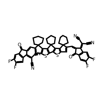 N#CC(C#N)=C1/C(=C/C2=Cc3sc4c(c3C23CCCCC3)C2(CCCCC2)c2c-4sc3c2C2(CCCCC2)C(/C=C2/C(=O)c4cc(F)c(F)cc4C2=C(C#N)C#N)=C3)C(=O)c2cc(F)c(F)cc21